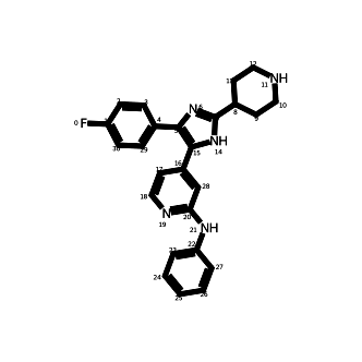 Fc1ccc(-c2nc(C3CCNCC3)[nH]c2-c2ccnc(Nc3ccccc3)c2)cc1